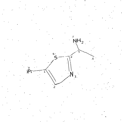 CC(C)c1cnc(C(C)N)s1